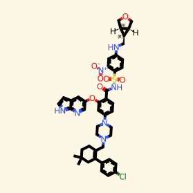 CC1(C)CCC(CN2CCN(c3ccc(C(=O)NS(=O)(=O)c4ccc(NC[C@H]5[C@H]6COC[C@@H]56)cc4[N+](=O)[O-])c(Oc4cnc5[nH]ccc5c4)c3)CC2)=C(c2ccc(Cl)cc2)C1